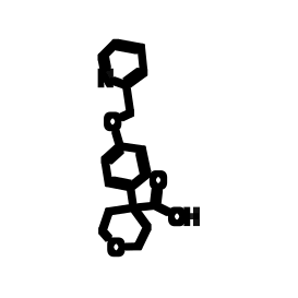 O=C(O)C1(c2ccc(OCc3ccccn3)cc2)CCOCC1